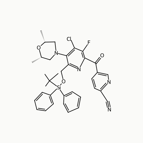 C[C@@H]1CN(c2c(CO[Si](c3ccccc3)(c3ccccc3)C(C)(C)C)nc(C(=O)c3ccc(C#N)nc3)c(F)c2Cl)C[C@H](C)O1